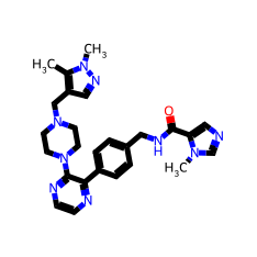 Cc1c(CN2CCN(c3nccnc3-c3ccc(CNC(=O)c4cncn4C)cc3)CC2)cnn1C